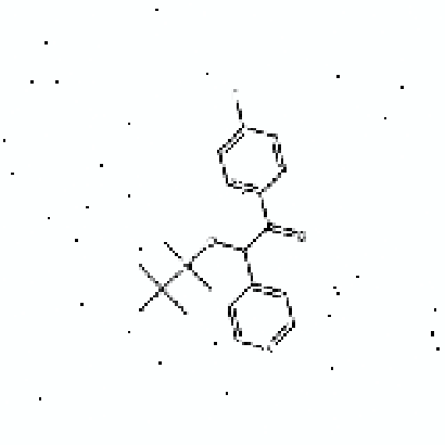 CC(C)(C)[Si](C)(C)OC(C(=O)c1ccc(F)cc1)c1ccncc1